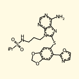 CC(C)S(=O)(=O)NCCCn1c(Sc2cc3c(cc2-c2ncco2)OCO3)nc2c(N)ncnc21